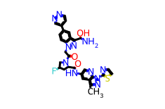 Cc1nn(-c2nccs2)c2ncc(NC(=O)C3CC(F)CN3C(=O)Cn3nc(C(N)O)c4cc(-c5ccnnc5)ccc43)cc12